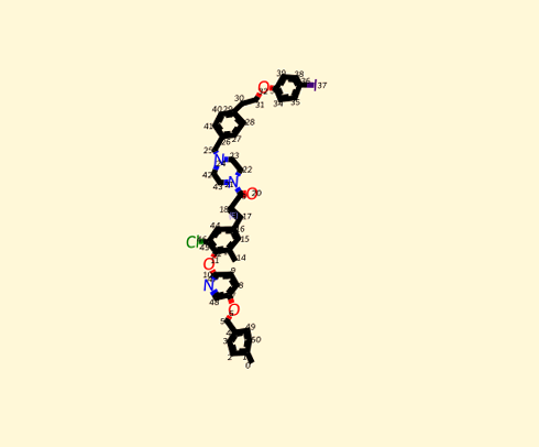 Cc1ccc(COc2ccc(Oc3c(C)cc(/C=C/C(=O)N4CCN(Cc5ccc(CCOc6ccc(I)cc6)cc5)CC4)cc3Cl)nc2)cc1